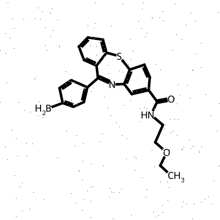 Bc1ccc(C2=Nc3cc(C(=O)NCCOCC)ccc3Sc3ccccc32)cc1